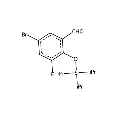 CC(C)[Si](Oc1c(F)cc(Br)cc1C=O)(C(C)C)C(C)C